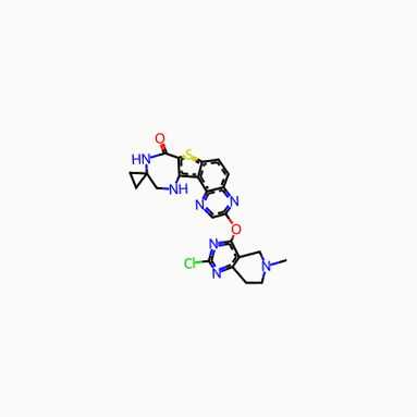 CN1CCc2nc(Cl)nc(Oc3cnc4c(ccc5sc6c(c54)NCC4(CC4)NC6=O)n3)c2C1